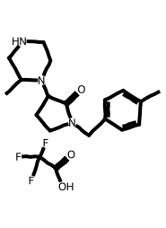 Cc1ccc(CN2CCC(N3CCNCC3C)C2=O)cc1.O=C(O)C(F)(F)F